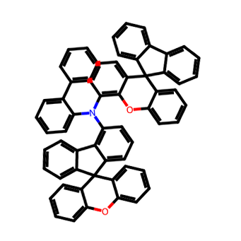 c1ccc(-c2ccccc2N(c2cccc3c2Oc2ccccc2C32c3ccccc3-c3ccccc32)c2cccc3c2-c2ccccc2C32c3ccccc3Oc3ccccc32)cc1